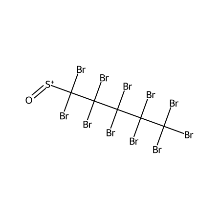 O=[S+]C(Br)(Br)C(Br)(Br)C(Br)(Br)C(Br)(Br)C(Br)(Br)Br